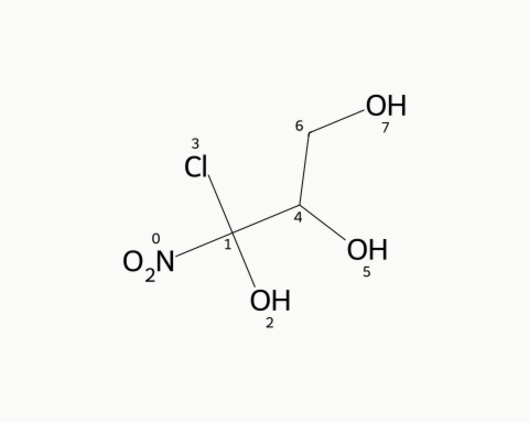 O=[N+]([O-])C(O)(Cl)C(O)CO